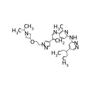 C=C(/C=N\c1ccc(Nc2cc(C(CC)CC)cnn2)nc1C)c1cnn(CCOC2CN(C(C)C)C2)c1